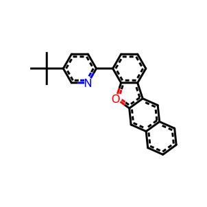 CC(C)(C)c1ccc(-c2cccc3c2oc2cc4ccccc4cc23)nc1